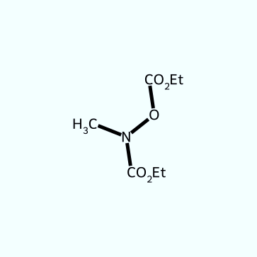 CCOC(=O)ON(C)C(=O)OCC